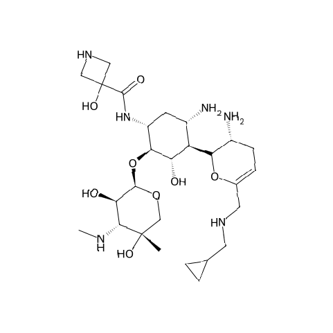 CN[C@@H]1[C@@H](O)[C@@H](O[C@@H]2[C@@H](O)[C@H](C3OC(CNCC4CC4)=CC[C@H]3N)[C@@H](N)C[C@H]2NC(=O)C2(O)CNC2)OC[C@]1(C)O